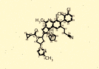 Cc1ccn(C2CC(c3cc4c(C)nc5c(F)c(-c6cccc(Cl)c6Cl)c(CCC#N)cc5c4n3C3C4CNC3C4)N(C(=O)C3CC3)C2)n1